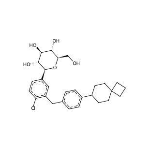 OC[C@H]1O[C@@H](c2ccc(Cl)c(Cc3ccc(C4CCC5(CCC5)CC4)cc3)c2)[C@H](O)[C@@H](O)[C@@H]1O